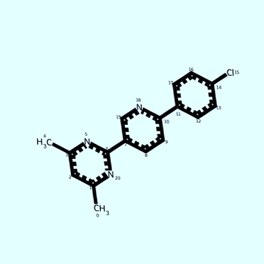 Cc1cc(C)nc(-c2ccc(-c3ccc(Cl)cc3)nc2)n1